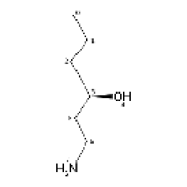 CCC[C@@H](O)CCN